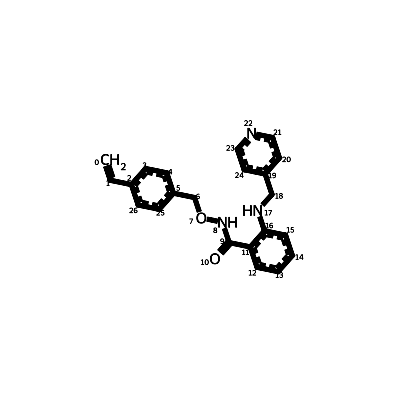 C=Cc1ccc(CONC(=O)c2ccccc2NCc2ccncc2)cc1